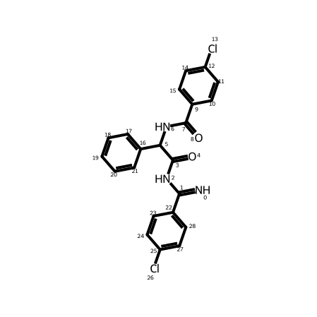 N=C(NC(=O)C(NC(=O)c1ccc(Cl)cc1)c1ccccc1)c1ccc(Cl)cc1